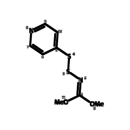 COC(=NSSc1ccncc1)OC